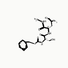 NNC(=O)[C@H](CC(N)=O)NC(=O)[C@H](CO)NC(=O)OCc1ccccc1